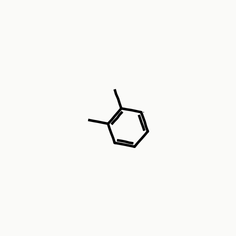 Cc1[c]cccc1C